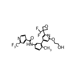 Cc1ccc(NC(=O)c2ccnc(C(F)(F)F)c2)cc1-c1cc(OCCO)nc(C2(C(F)F)COC2)c1